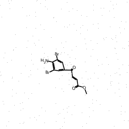 COC(=O)C=CC(=O)c1cc(Br)c(N)c(Br)c1